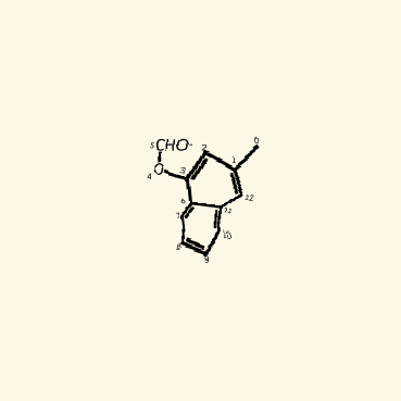 Cc1cc(O[C]=O)c2ccccc2c1